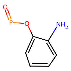 Nc1ccccc1OP=O